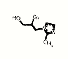 Cc1nccn1CC(O)CO